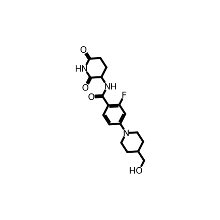 O=C1CCC(NC(=O)c2ccc(N3CCC(CO)CC3)cc2F)C(=O)N1